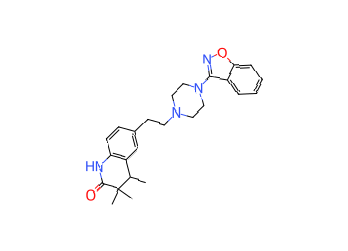 CC1c2cc(CCN3CCN(c4noc5ccccc45)CC3)ccc2NC(=O)C1(C)C